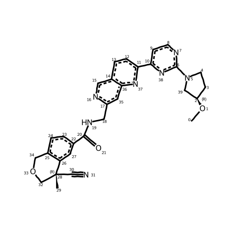 CO[C@@H]1CCN(c2nccc(-c3ccc4cnc(CNC(=O)c5ccc6c(c5)[C@](C)(C#N)COC6)cc4n3)n2)C1